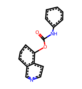 O=C(Nc1ccccc1)Oc1cccc2cnccc12